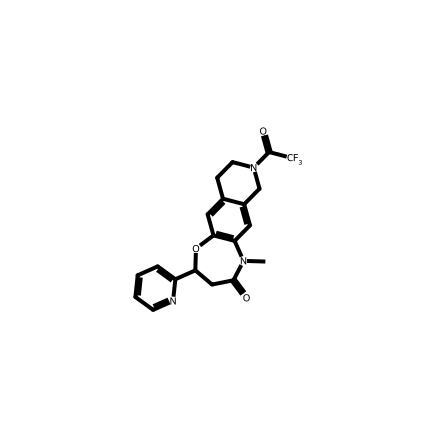 CN1C(=O)CC(c2ccccn2)Oc2cc3c(cc21)CN(C(=O)C(F)(F)F)CC3